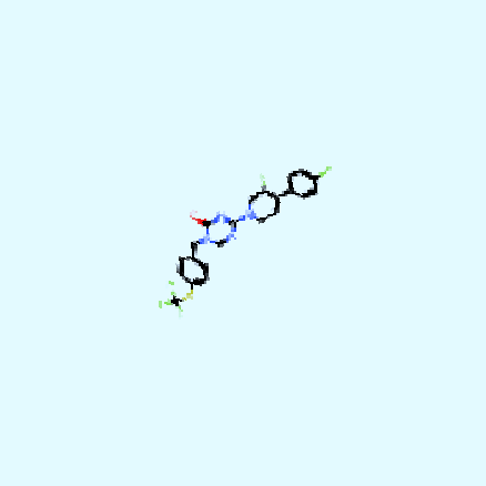 O=c1nc(N2CC=C(c3ccc(F)cc3)C(F)C2)ncn1Cc1ccc(SC(F)(F)F)cc1